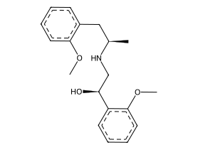 COc1ccccc1C[C@@H](C)NC[C@H](O)c1ccccc1OC